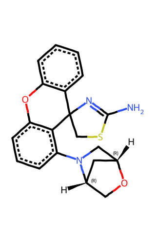 NC1=NC2(CS1)c1ccccc1Oc1cccc(N3C[C@H]4C[C@@H]3CO4)c12